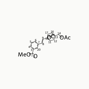 COC(=O)c1cccc(/C=C/C23CCC(COC(C)=O)(CC2)CO3)c1